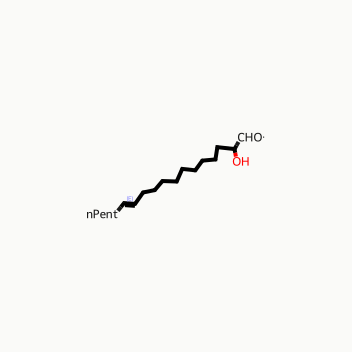 CCCCC/C=C/CCCCCCCCCC(O)[C]=O